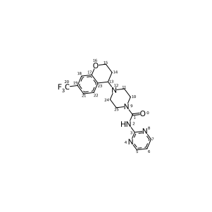 O=C(Nc1ncccn1)N1CCN(C2CCOc3cc(C(F)(F)F)ccc32)CC1